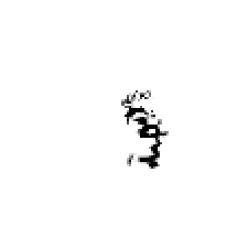 CCCCCCCCOc1cnc(-c2ccc(CCCC(C)F)c(F)c2F)nc1